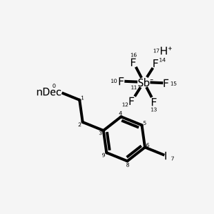 CCCCCCCCCCCCc1ccc(I)cc1.[F][Sb-]([F])([F])([F])([F])[F].[H+]